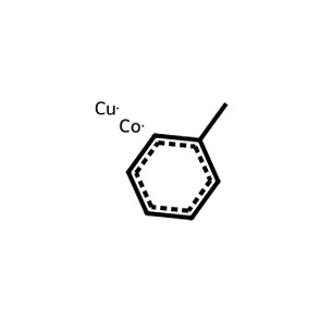 Cc1ccccc1.[Co].[Cu]